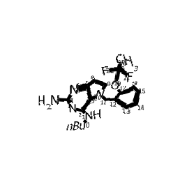 CCCCNc1nc(N)nc2ccn(Cc3ccccc3OC(C)(F)F)c12